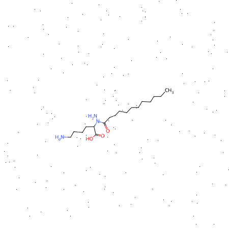 CCCCCCCCCCCC(=O)N(N)C(CCCCN)C(=O)O